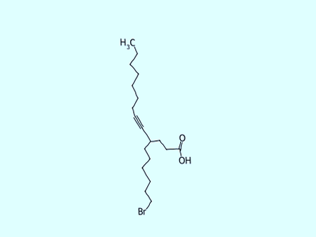 CCCCCCCC#CC(CCCCCCBr)CCC(=O)O